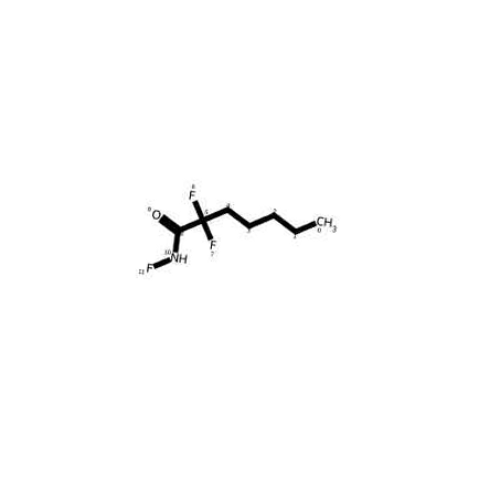 CCCCCC(F)(F)C(=O)NF